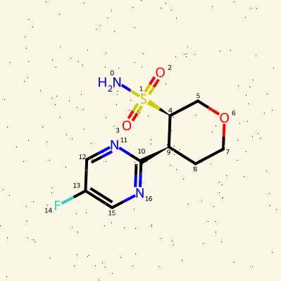 NS(=O)(=O)[C@H]1COCC[C@H]1c1ncc(F)cn1